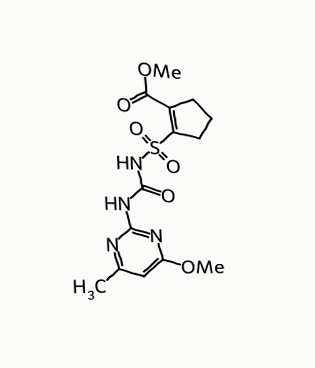 COC(=O)C1=C(S(=O)(=O)NC(=O)Nc2nc(C)cc(OC)n2)CCC1